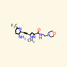 Cn1nc(C(=O)NCCN2CCOCC2)cc1C#Cc1nc(C(F)(F)F)ccc1N